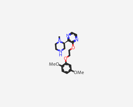 COc1ccc(OC)c(OCCOc2nccnc2[C@H]2CNCCN2C)c1